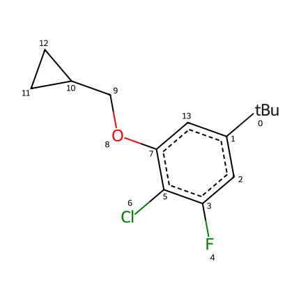 CC(C)(C)c1cc(F)c(Cl)c(OCC2CC2)c1